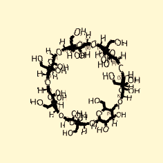 OCC1O[C@H]2O[C@@H]3C(CO)O[C@@H](O[C@@H]4C(CO)O[C@@H](O[C@@H]5C(CO)O[C@H](O[C@@H]6C(CO)O[C@H](O[C@@H]7C(CO)O[C@H](O[C@@H]8C(CO)O[C@H](C[C@H]1[C@H](O)C2O)C(O)[C@H]8O)C(O)[C@H]7O)C(O)[C@H]6O)C(O)[C@H]5O)C(O)[C@H]4O)C(O)[C@H]3O